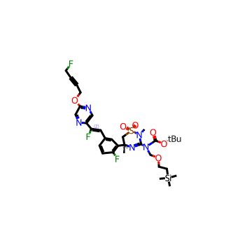 CN1C(N(COCC[Si](C)(C)C)C(=O)OC(C)(C)C)=N[C@](C)(c2cc(/C=C(\F)c3cnc(OCC#CCF)cn3)ccc2F)CS1(=O)=O